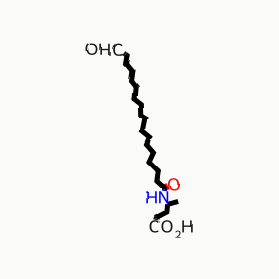 CC(CCC(=O)O)NC(=O)CCCCCCCCCCCCCCCCC=O